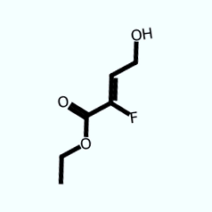 CCOC(=O)C(F)=CCO